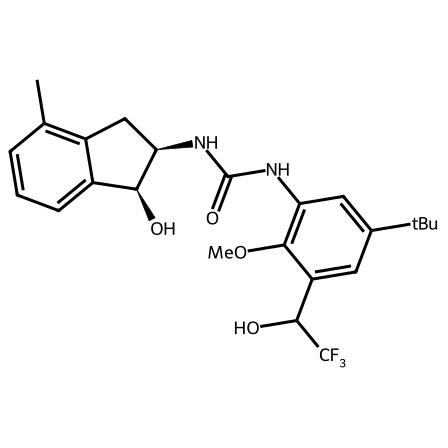 COc1c(NC(=O)N[C@@H]2Cc3c(C)cccc3[C@@H]2O)cc(C(C)(C)C)cc1C(O)C(F)(F)F